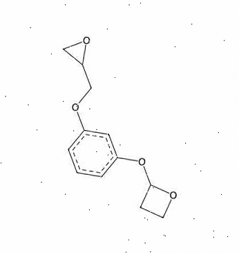 c1cc(OCC2CO2)cc(OC2CCO2)c1